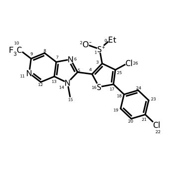 CC[S+]([O-])c1c(-c2nc3cc(C(F)(F)F)ncc3n2C)sc(-c2ccc(Cl)cc2)c1Cl